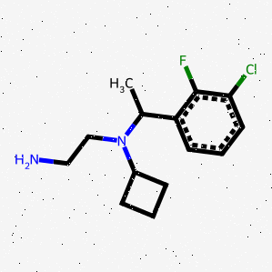 CC(c1cccc(Cl)c1F)N(CCN)C1CCC1